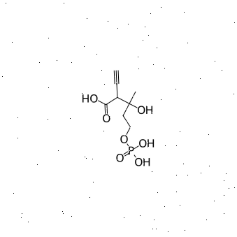 C#CC(C(=O)O)C(C)(O)CCOP(=O)(O)O